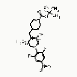 C[C@H]1CN(c2c(F)cc([N+](=O)[O-])cc2F)C[C@H](C)N1CC1CCN(C(=O)OC(C)(C)C)CC1